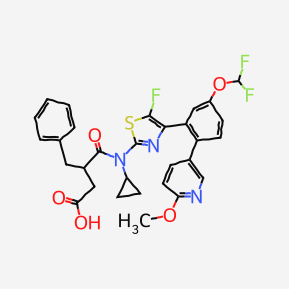 COc1ccc(-c2ccc(OC(F)F)cc2-c2nc(N(C(=O)C(CC(=O)O)Cc3ccccc3)C3CC3)sc2F)cn1